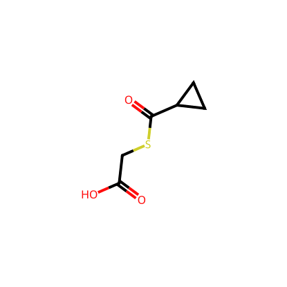 O=C(O)CSC(=O)C1CC1